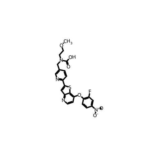 COCCN(Cc1ccc(-c2cc3nccc(Oc4ccc([N+](=O)[O-])cc4F)c3s2)nc1)C(=O)O